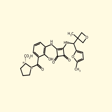 Cc1ccc(C(Nc2c(Nc3cccc(C(=O)N4CCC[C@@H]4C(=O)O)c3O)c(=O)c2=O)C2(C)COC2)o1